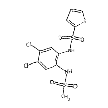 CS(=O)(=O)Nc1cc(Cl)c(Cl)cc1NS(=O)(=O)c1cccs1